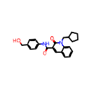 O=C(Nc1ccc(CO)cc1)c1cc2ccccc2n(CC2CCCC2)c1=O